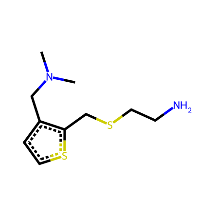 CN(C)Cc1ccsc1CSCCN